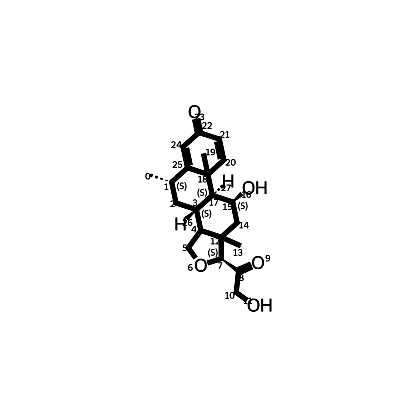 C[C@H]1C[C@H]2C3CO[C@H](C(=O)CO)C3(C)C[C@H](O)[C@@H]2C2(C)C=CC(=O)C=C12